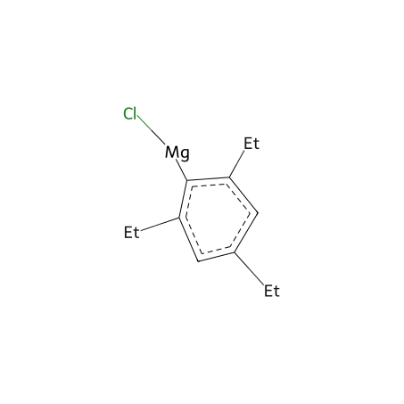 CCc1cc(CC)[c]([Mg][Cl])c(CC)c1